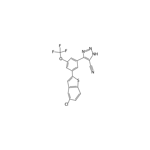 N#Cc1[nH]nnc1-c1cc(OC(F)(F)F)cc(-c2cc3cc(Cl)ccc3s2)c1